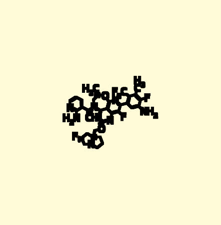 Cc1c(F)c(N)cc(-c2nc3c4c(nc(OC[C@@]56CCCN5C[C@H](F)C6)nc4c2F)N([C@H](C)c2cccnc2N)C[C@@H](C)O3)c1C(F)(F)F